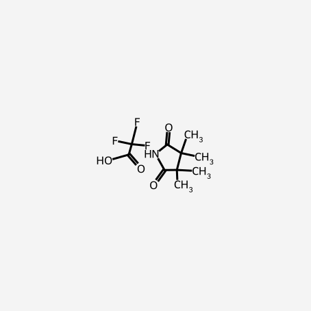 CC1(C)C(=O)NC(=O)C1(C)C.O=C(O)C(F)(F)F